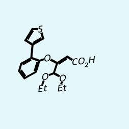 CCOC(OCC)C(=CC(=O)O)Oc1ccccc1-c1ccsc1